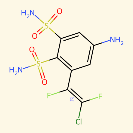 Nc1cc(/C(F)=C(\F)Cl)c(S(N)(=O)=O)c(S(N)(=O)=O)c1